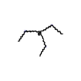 CCCCCCCC/C=C\CCCCCCCCP(=O)(CCCCCCCC/C=C\CCCCCCCC)CCCCCCCC/C=C\CCCCCCCC